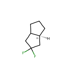 FC1(F)CC2CCC[C@H]2C1